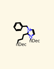 CCCCCCCCCCCCCC1N(CCCCCCCCCC)C=CN1Cc1ccccc1